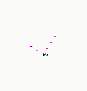 I.I.I.I.I.[Mo]